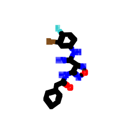 N=C(Nc1ccc(F)c(Br)c1)c1nonc1NC(=O)Cc1ccccc1